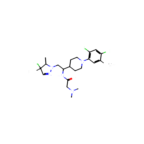 COc1cc(N2CCC(C(CN3N=CC(Cl)(C(F)(F)F)C3C)NC(=O)CN(C)C)CC2)c(Cl)cc1Cl